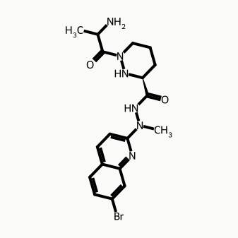 CC(N)C(=O)N1CCC[C@@H](C(=O)NN(C)c2ccc3ccc(Br)cc3n2)N1